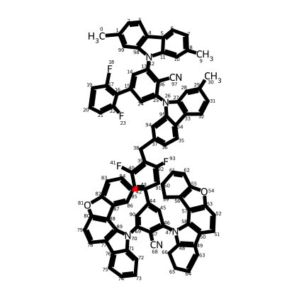 Cc1ccc2c3ccc(C)cc3n(-c3cc(-c4c(F)cccc4F)cc(-n4c5cc(C)ccc5c5ccc(Cc6c(F)cc(-c7cc(-n8c9c(c%10ccc%11oc%12c(c%11c%108)CCC=C%12)C=CCC9)c(C#N)c(-n8c9ccccc9c9ccc%10oc%11ccccc%11c%10c98)c7)cc6F)cc54)c3C#N)c2c1